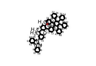 CC(C)(C)c1ccc2c(c1-c1cccc(-c3c(-c4ccccc4)c(-c4ccccc4)c(-c4ccccc4)c(-c4ccccc4)c3-c3ccccc3)c1)Oc1ccc(-n3c4ccccc4n4c5ccccc5nc34)cc1C2(C)C